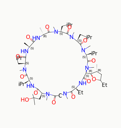 CCC1C[C@@H](C)[C@H]([C@H]2C(=O)N[C@@H](CC)C(=O)N(C)CC(=O)N(C)[C@@H](CC(C)(C)O)C(=O)N[C@@H](C(C)C)C(=O)N(C)[C@@H](CC(C)C)C(=O)N[C@@H](C)C(=O)N[C@H](C)C(=O)N(C)[C@@H](CC(C)C)C(=O)N(C)[C@@H](CC(C)C)C(=O)N(C)[C@@H](C(C)C)C(=O)N2C)O1